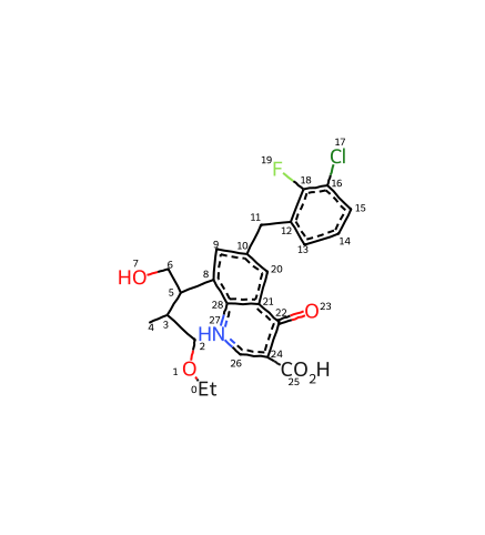 CCOCC(C)C(CO)c1cc(Cc2cccc(Cl)c2F)cc2c(=O)c(C(=O)O)c[nH]c12